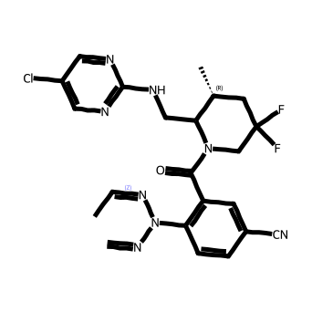 C=NN(/N=C\C)c1ccc(C#N)cc1C(=O)N1CC(F)(F)C[C@@H](C)C1CNc1ncc(Cl)cn1